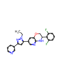 CCn1nc(-c2cccnc2)cc1-c1cnc2c(c1)OCC(c1c(F)cccc1F)N2